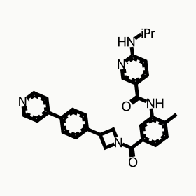 Cc1ccc(C(=O)N2CC(c3ccc(-c4ccncc4)cc3)C2)cc1NC(=O)c1ccc(NC(C)C)nc1